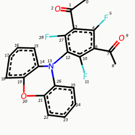 CC(=O)c1c(F)c(C(C)=O)c(F)c(N2c3ccccc3Oc3ccccc32)c1F